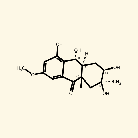 COc1cc(O)c2c(c1)C(=O)[C@H]1C[C@](C)(O)[C@H](O)C[C@@H]1[C@H]2O